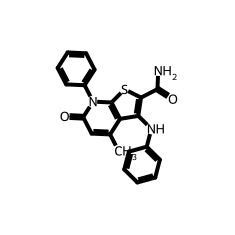 Cc1cc(=O)n(-c2ccccc2)c2sc(C(N)=O)c(Nc3ccccc3)c12